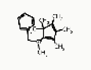 CC1=C(C)C(C)(C)[C]([Zr]([CH3])[CH2]c2ccccc2)=C1C